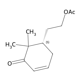 CC(=O)OCC[C@@H]1CC=CC(=O)C1(C)C